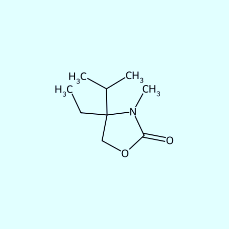 CCC1(C(C)C)COC(=O)N1C